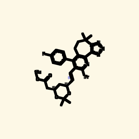 CC(C)c1nc2c(c(-c3ccc(F)cc3)c1/C=C/[C@@H]1C[C@H](CC(=O)OC(C)(C)C)OC(C)(C)O1)CCC(C)(C)n1nnnc1-2